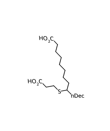 CCCCCCCCCCC(CCCCCCCC(=O)O)SCCC(=O)O